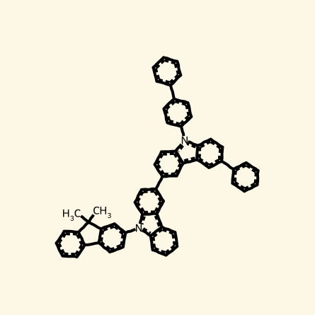 CC1(C)c2ccccc2-c2ccc(-n3c4ccccc4c4cc(-c5ccc6c(c5)c5cc(-c7ccccc7)ccc5n6-c5ccc(-c6ccccc6)cc5)ccc43)cc21